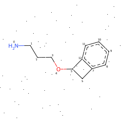 NCCCOC1Cc2ccccc21